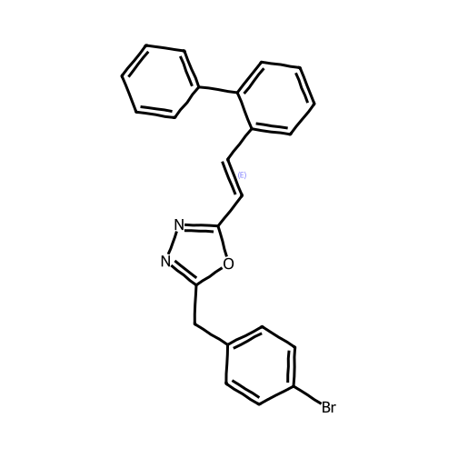 Brc1ccc(Cc2nnc(/C=C/c3ccccc3-c3ccccc3)o2)cc1